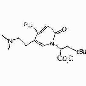 CCOC(=O)C(CC(C)(C)C)n1cc(CCN(C)C)c(C(F)(F)F)cc1=O